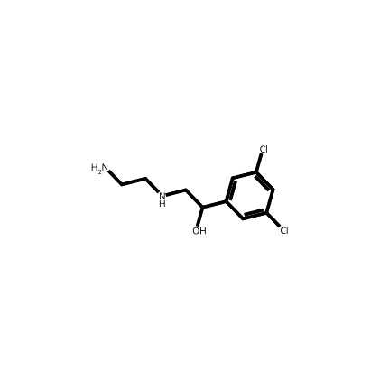 NCCNCC(O)c1cc(Cl)cc(Cl)c1